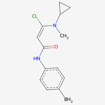 Bc1ccc(NC(=O)/C=C(/Cl)N(C)C2CC2)cc1